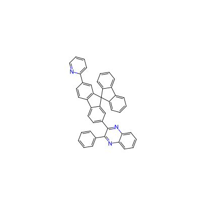 c1ccc(-c2nc3ccccc3nc2-c2ccc3c(c2)C2(c4ccccc4-c4ccccc42)c2cc(-c4ccccn4)ccc2-3)cc1